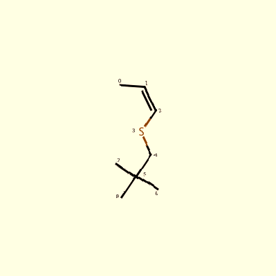 C/C=C\SCC(C)(C)C